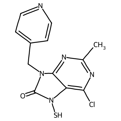 Cc1nc(Cl)c2c(n1)n(Cc1ccncc1)c(=O)n2S